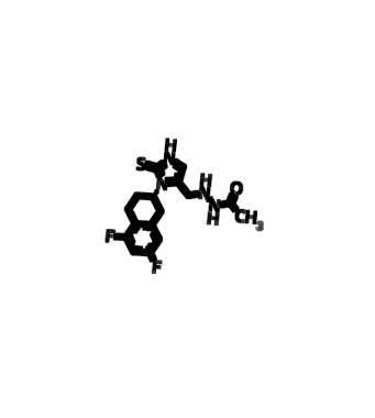 CC(=O)NNCc1c[nH]c(=S)n1[C@H]1CCc2c(F)cc(F)cc2C1